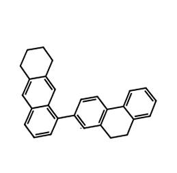 [c]1c(-c2cccc3cc4c(cc23)CCCC4)ccc2c1CCc1ccccc1-2